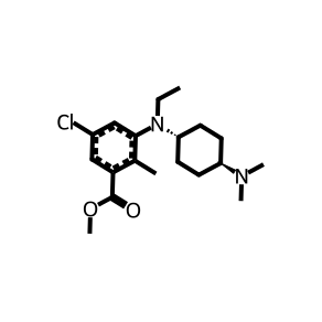 CCN(c1cc(Cl)cc(C(=O)OC)c1C)[C@H]1CC[C@H](N(C)C)CC1